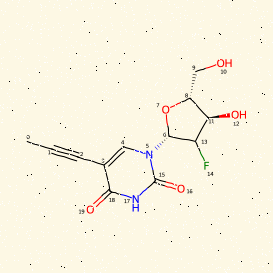 CC#Cc1cn([C@@H]2O[C@H](CO)[C@@H](O)C2F)c(=O)[nH]c1=O